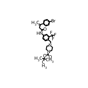 C[C@H](CC(=O)Nc1ccc(CN2CCN(C(=O)OC(C)(C)C)CC2)c(C(F)(F)F)c1)c1ccc(Br)cc1